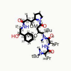 CC[C@@H](C)[C@H]([C@H](CC(=O)N1CCCC1[C@@H](OC)[C@H](C)C(=O)N[C@@H](C)[C@H](O)c1ccccc1)OC)N(C)C(=O)[C@H](NC(=O)[C@@H](C(C)C)N(C)C(C)(C)C)C(C)C